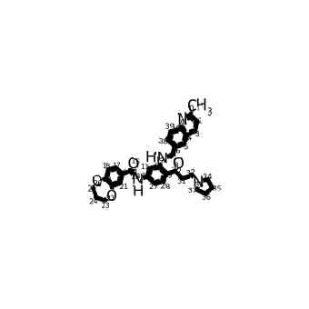 Cc1ccc2cc(C(=O)Nc3cc(NC(=O)c4ccc5c(c4)OCCCO5)ccc3CCCN3CCCC3)ccc2n1